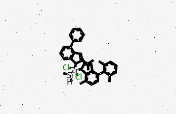 CC1=Cc2c(-c3c(C)cccc3C)ccc(C)c2[CH]1[Zr]([Cl])([Cl])([CH]1C(C(C)C)=Cc2c(-c3ccccc3)cccc21)[SiH](C)C